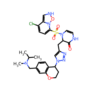 CC(C)N(C)Cc1ccc2c(c1)OCCC2n1cc(CC2C(=O)NC=CN2S(=O)(=O)C2=CC=C(Cl)C3=CNON32)nn1